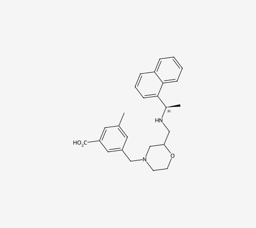 Cc1cc(CN2CCOC(CN[C@H](C)c3cccc4ccccc34)C2)cc(C(=O)O)c1